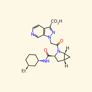 CC[C@H]1CCC[C@@H](NC(=O)[C@@H]2C[C@H]3C[C@H]3N2C(=O)Cn2nc(C(=O)O)c3ccncc32)C1